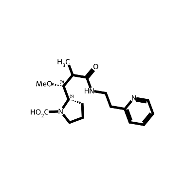 CO[C@H](C(C)C(=O)NCCc1ccccn1)[C@@H]1CCCN1C(=O)O